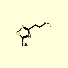 BCCc1noc(C(C)(C)C)n1